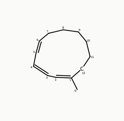 CC1=CC=CC=CCCCCCC1